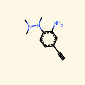 C#Cc1ccc(N(C)N(C)C)c(N)c1